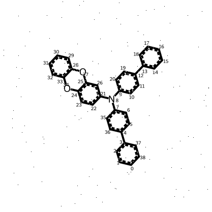 c1ccc(-c2ccc(N(c3ccc(-c4ccccc4)cc3)c3ccc4c(c3)Oc3ccccc3O4)cc2)cc1